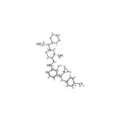 O=C(O)C(C1CCOCC1)N1CC[C@H](CNc2ncnc(N(Cc3ccc(C(F)(F)F)cc3)C3CC3)c2F)[C@@H](O)C1